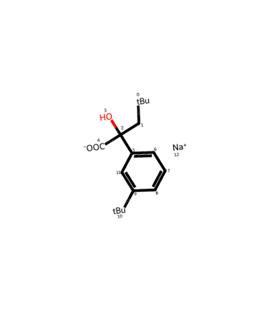 CC(C)(C)CC(O)(C(=O)[O-])c1cccc(C(C)(C)C)c1.[Na+]